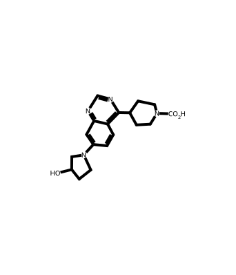 O=C(O)N1CCC(c2ncnc3cc(N4CCC(O)C4)ccc23)CC1